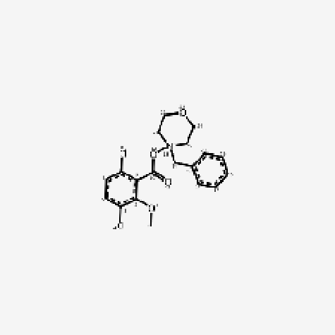 COc1c(Cl)ccc(Cl)c1C(=O)O[N+]1(Cc2ccccc2)CCOCC1